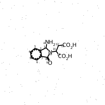 NC1c2ccccc2C(=O)N1C(CC(=O)O)C(=O)O